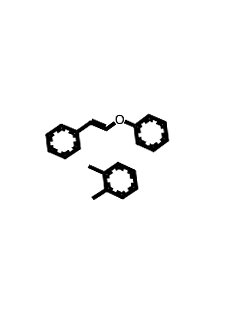 C(=Cc1ccccc1)Oc1ccccc1.Cc1ccccc1C